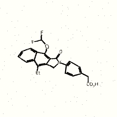 CCc1c2c(c(OC(F)F)c3ccccc13)C(=O)N(c1ccc(CC(=O)O)cc1)C2